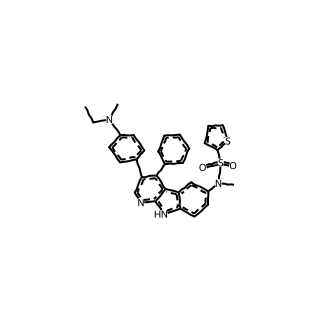 CCN(C)c1ccc(-c2cnc3[nH]c4ccc(N(C)S(=O)(=O)c5cccs5)cc4c3c2-c2ccccc2)cc1